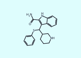 NC(=O)c1[nH]c2ccccc2c1C(Sc1ccccc1)C1CCCNC1